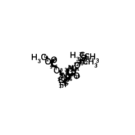 CCOC(=O)CCOCCn1c(C(F)(F)F)cc2c(=O)n(COCC[Si](C)(C)C)ncc21